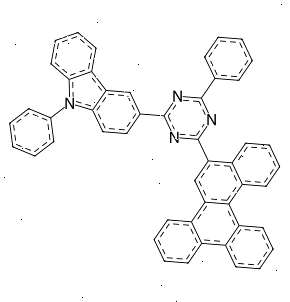 c1ccc(-c2nc(-c3ccc4c(c3)c3ccccc3n4-c3ccccc3)nc(-c3cc4c5ccccc5c5ccccc5c4c4ccccc34)n2)cc1